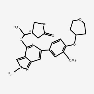 COc1cc(-c2cc3nn(C)cc3c(OC(C)[C@H]3CNC(=O)C3)n2)ccc1OC1CCOCC1